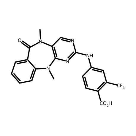 CN1C(=O)c2ccccc2N(C)c2nc(Nc3ccc(C(=O)O)c(C(F)(F)F)c3)ncc21